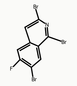 Fc1cc2cc(Br)nc(Br)c2cc1Br